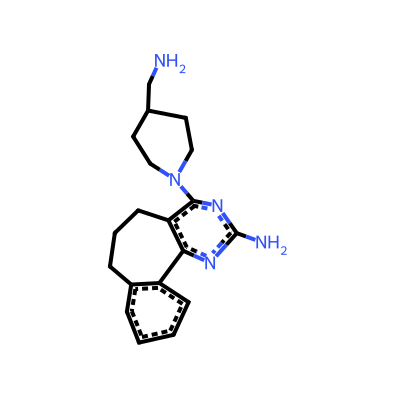 NCC1CCN(c2nc(N)nc3c2CCCc2ccccc2-3)CC1